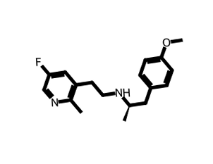 COc1ccc(C[C@@H](C)NCCc2cc(F)cnc2C)cc1